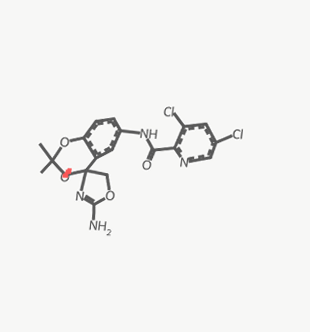 CC1(C)Oc2ccc(NC(=O)c3ncc(Cl)cc3Cl)cc2C2(COC(N)=N2)C12COC2